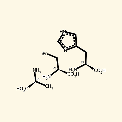 CC(C)C[C@H](N)C(=O)O.C[C@H](N)C(=O)O.N[C@@H](Cc1c[nH]cn1)C(=O)O